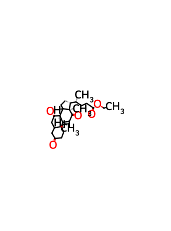 CCOC(=O)CC[C@@H](C)[C@H]1CC[C@H]2[C@@H]3C(=O)CC4CC(=O)CC[C@]4(C)[C@H]3CC(=O)[C@]12C